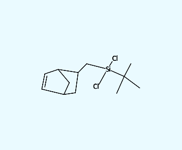 CC(C)(C)[Si](Cl)(Cl)CC1CC2C=CC1C2